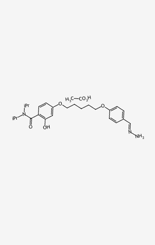 CC(=O)O.CC(C)N(C(=O)c1ccc(OCCCCCOc2ccc(C=NN)cc2)cc1O)C(C)C